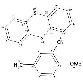 COc1ccc(C)cc1C#N.c1ccc2c(c1)Sc1ccccc1S2